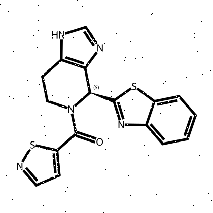 O=C(c1ccns1)N1CCc2[nH]cnc2[C@H]1c1nc2ccccc2s1